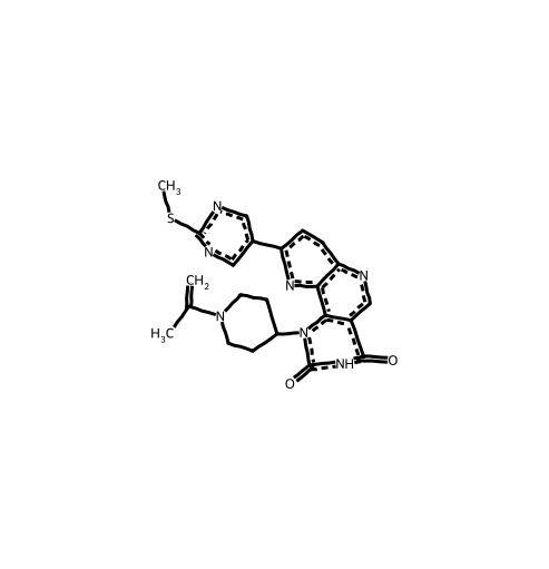 C=C(C)N1CCC(n2c(=O)[nH]c(=O)c3cnc4ccc(-c5cnc(SC)nc5)nc4c32)CC1